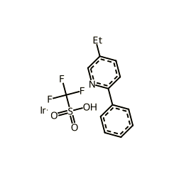 CCc1ccc(-c2ccccc2)nc1.O=S(=O)(O)C(F)(F)F.[Ir]